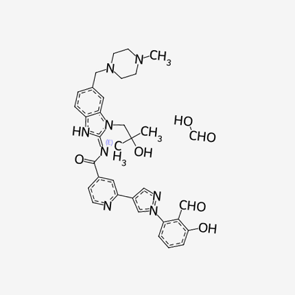 CN1CCN(Cc2ccc3[nH]/c(=N\C(=O)c4ccnc(-c5cnn(-c6cccc(O)c6C=O)c5)c4)n(CC(C)(C)O)c3c2)CC1.O=CO